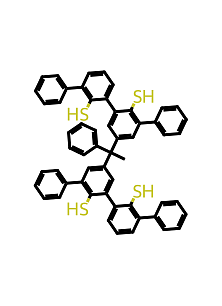 CC(c1ccccc1)(c1cc(-c2ccccc2)c(S)c(-c2cccc(-c3ccccc3)c2S)c1)c1cc(-c2ccccc2)c(S)c(-c2cccc(-c3ccccc3)c2S)c1